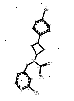 N#Cc1ccc(C2CC(N(Cc3ccnc(C(F)(F)F)c3)C(N)=O)C2)cc1